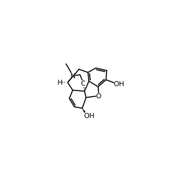 CN1CC[C@]23c4c5ccc(O)c4OC2[C@@H](O)C=CC3[C@H]1C5